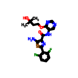 CC(C)(O)CCOc1ncncc1NC(=O)c1nc(-c2c(F)cccc2F)sc1N